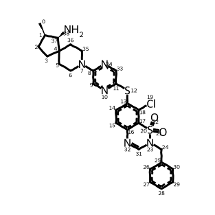 C[C@@H]1CCC2(CCN(c3cnc(Sc4ccc5c(c4Cl)S(=O)(=O)N(Cc4ccccc4)C=N5)cn3)CC2)[C@@H]1N